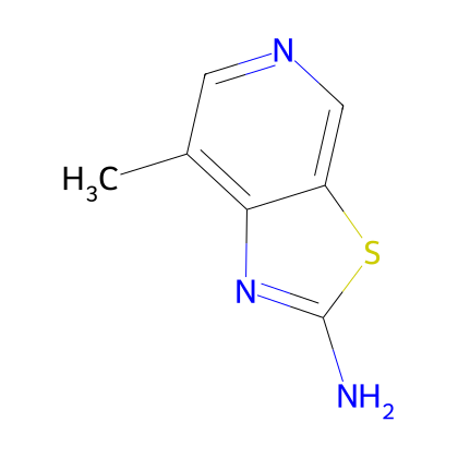 Cc1cncc2sc(N)nc12